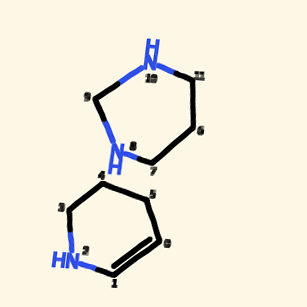 C1=CNCCC1.C1CNCNC1